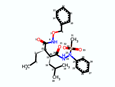 CCC[C@H](C(=O)NOCc1ccccc1)[C@@H](CC(C)C)C(=O)NN(c1ccccc1)S(C)(=O)=O